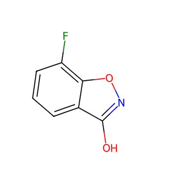 Oc1noc2c(F)cccc12